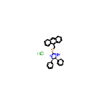 Cl.c1ccc([C@H]2N=C(SCc3c4ccccc4cc4ccccc34)N[C@H]2c2ccccc2)cc1